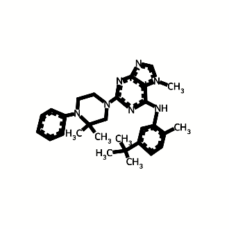 Cc1ccc(C(C)(C)C)cc1Nc1nc(N2CCN(c3ccccc3)C(C)(C)C2)nc2ncn(C)c12